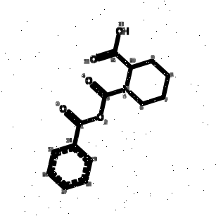 O=C(OC(=O)N1CCCCC1C(=O)O)c1ccccc1